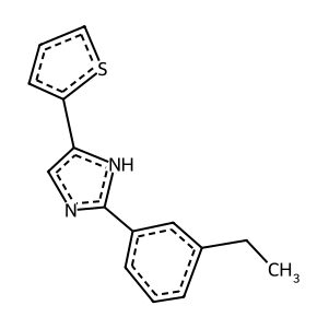 CCc1cccc(-c2ncc(-c3cccs3)[nH]2)c1